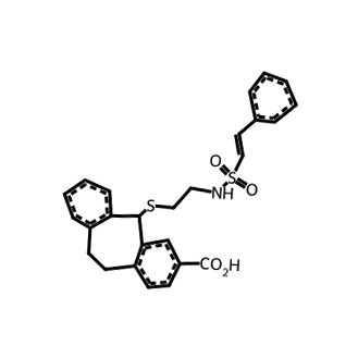 O=C(O)c1ccc2c(c1)C(SCCNS(=O)(=O)C=Cc1ccccc1)c1ccccc1CC2